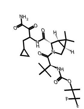 CC(C)(C)[C@H](NC(=O)OC(C)(C)C(F)(F)F)C(=O)N1C[C@H]2[C@@H]([C@H]1C(=O)NC(CC1CC1)C(=O)C(N)=O)C2(C)C